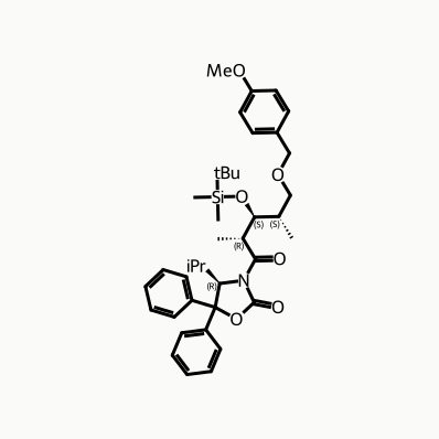 COc1ccc(COC[C@H](C)[C@H](O[Si](C)(C)C(C)(C)C)[C@@H](C)C(=O)N2C(=O)OC(c3ccccc3)(c3ccccc3)[C@H]2C(C)C)cc1